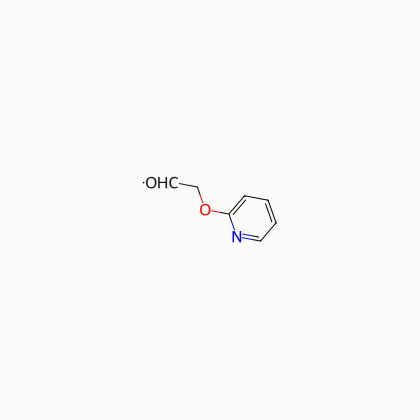 O=[C]COc1ccccn1